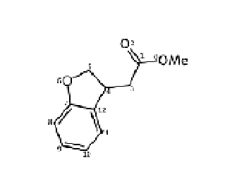 COC(=O)CC1COc2ccccc21